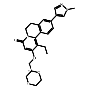 CCc1c(OC[C@@H]2COCCO2)cc(=O)n2c1-c1ccc(-c3cnn(C)c3)cc1CC2